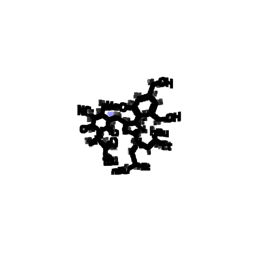 CCCCC(CC)CN(CC(CC)CCCC)c1nc(-c2c(CO)cc(CO)cc2OC)c(/C=C2\C(=O)N(N(C)C(=O)C(C)(C)C)C(=O)C(C#N)=C2C)s1